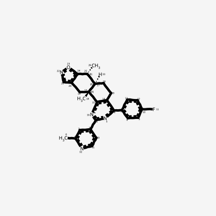 Cc1cc(-c2nc(-c3ccc(F)cc3)c3c(n2)[C@]2(C)Cc4cnoc4[C@H](C)[C@H]2CC3)ccn1